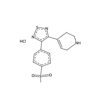 CS(=O)(=O)c1ccc(-c2nsnc2C2=CCNCC2)cc1.Cl